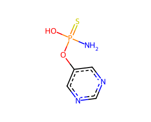 NP(O)(=S)Oc1cncnc1